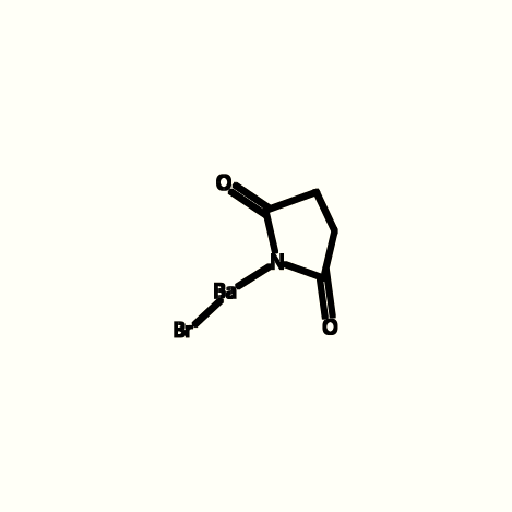 O=C1CCC(=O)[N]1[Ba][Br]